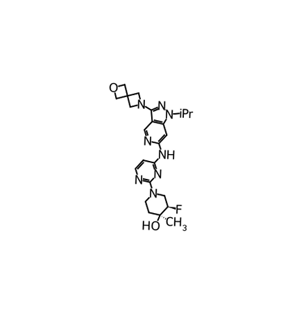 CC(C)n1nc(N2CC3(COC3)C2)c2cnc(Nc3ccnc(N4CC[C@](C)(O)[C@H](F)C4)n3)cc21